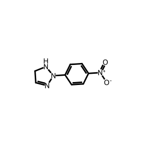 O=[N+]([O-])c1ccc(N2N=CCN2)cc1